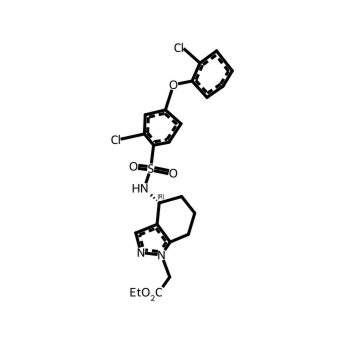 CCOC(=O)Cn1ncc2c1CCC[C@H]2NS(=O)(=O)c1ccc(Oc2ccccc2Cl)cc1Cl